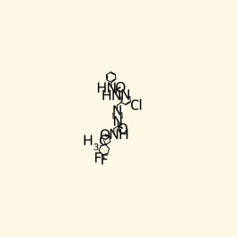 CC1(CC(=O)NCC(=O)N2CCN(Cc3cc(Cl)cnc3NC(=O)Nc3ccccc3)CC2)CCC(F)(F)CC1